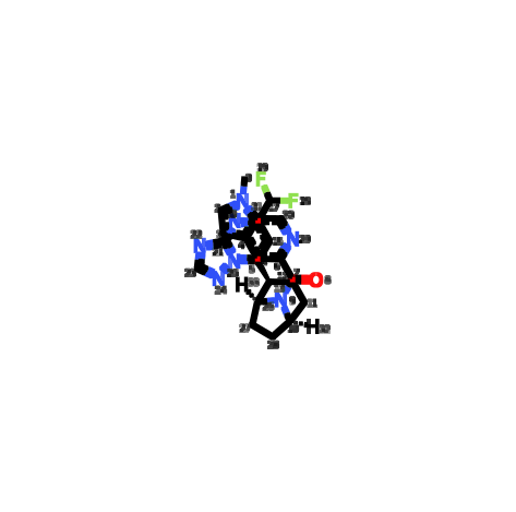 Cn1ccc2cc(C(=O)N3[C@H]4CC[C@H](c5cc(C(F)F)nc6ncnn56)[C@@H]3CC4)ncc21